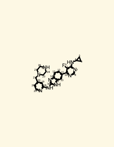 Fc1c(NC2CC2)ncnc1-c1ccc2nc(Nc3cc(CN4CCNCC4)ccn3)[nH]c2c1